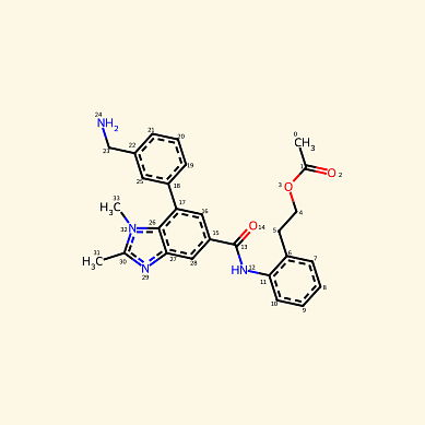 CC(=O)OCCc1ccccc1NC(=O)c1cc(-c2cccc(CN)c2)c2c(c1)nc(C)n2C